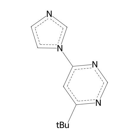 CC(C)(C)c1cc(-n2ccnc2)ncn1